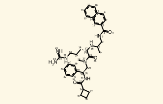 CC(CNC(=O)c1ccc2ccccc2c1)N[C@@H](CCCNC(=N)N)C(=O)N(C)C[C@@H](NC(=O)C1CCC1)c1ccccc1